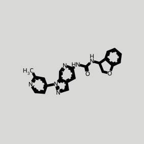 Cc1cc(-n2ncc3cc(NC(=O)NC4COc5ccccc54)ncc32)ccn1